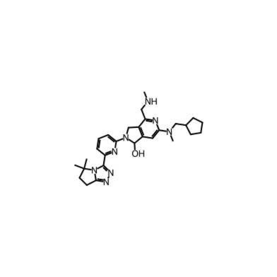 CNCc1nc(N(C)CC2CCCC2)cc2c1CN(c1cccc(-c3nnc4n3C(C)(C)CC4)n1)C2O